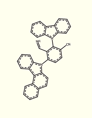 N#Cc1ccc(-n2c3ccccc3c3c4ccccc4ccc32)c(C=N)c1-n1c2ccccc2c2ccccc21